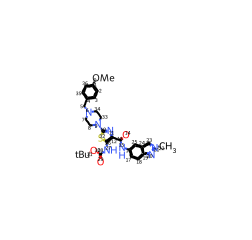 COc1ccc(CN2CCN(c3nc(C(=O)Nc4ccc5nn(C)cc5c4)c(NC(=O)OC(C)(C)C)s3)CC2)cc1